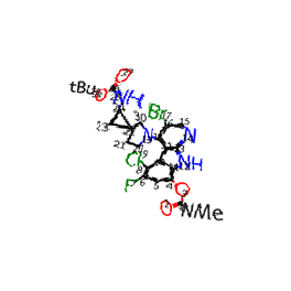 CNC(=O)Oc1cc(F)c(Cl)c2c1[nH]c1ncc(Br)c(N3CCC4(CC4NC(=O)OC(C)(C)C)C3)c12